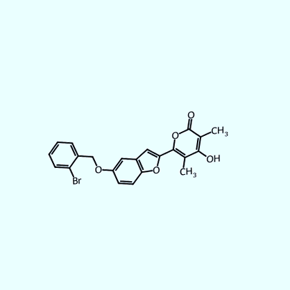 Cc1c(-c2cc3cc(OCc4ccccc4Br)ccc3o2)oc(=O)c(C)c1O